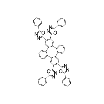 c1ccc(-c2nnc(-c3cc4c(cc3-c3nnc(-c5ccccc5)o3)-c3ccccc3-c3cc(-c5nnc(-c6ccccc6)o5)c(-c5nnc(-c6ccccc6)o5)cc3-c3ccccc3-4)o2)cc1